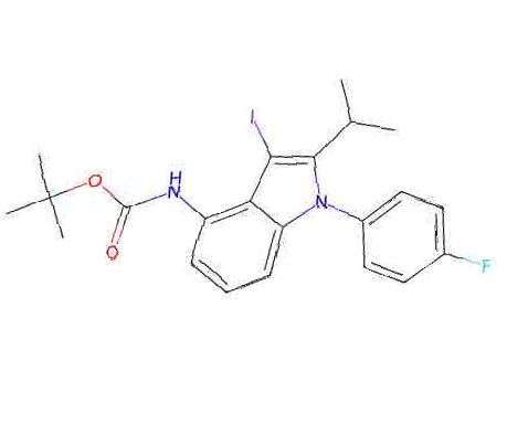 CC(C)c1c(I)c2c(NC(=O)OC(C)(C)C)cccc2n1-c1ccc(F)cc1